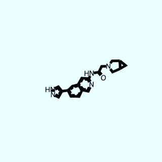 O=C(CN1CC2CC2C1)Nc1cc2cc(-c3cn[nH]c3)ccc2cn1